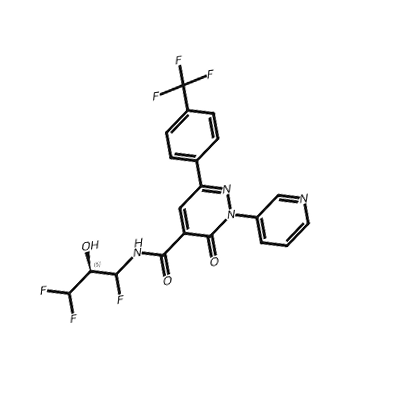 O=C(NC(F)[C@H](O)C(F)F)c1cc(-c2ccc(C(F)(F)F)cc2)nn(-c2cccnc2)c1=O